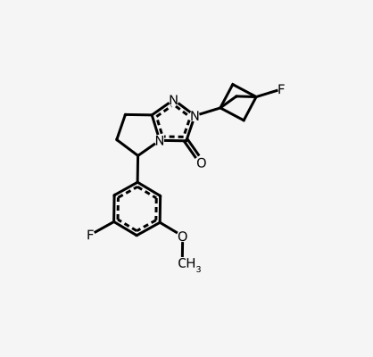 COc1cc(F)cc(C2CCc3nn(C45CC(F)(C4)C5)c(=O)n32)c1